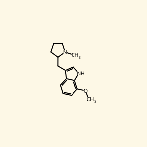 COc1cccc2c(CC3CCCN3C)c[nH]c12